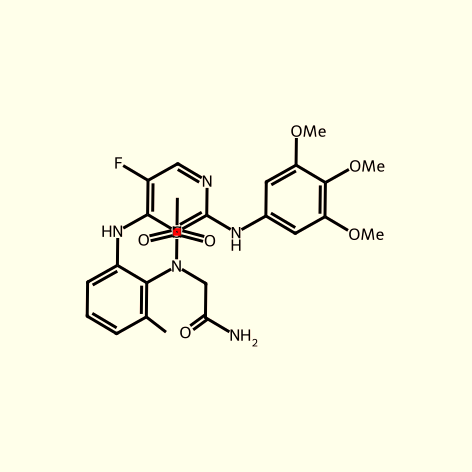 COc1cc(Nc2ncc(F)c(Nc3cccc(C)c3N(CC(N)=O)S(C)(=O)=O)n2)cc(OC)c1OC